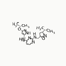 CC(C)Oc1cc(Nc2ccnc(NCc3cc(C(C)C)no3)n2)[nH]n1